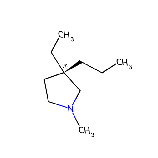 CCC[C@]1(CC)CCN(C)C1